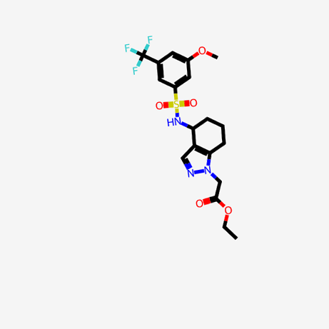 CCOC(=O)Cn1ncc2c1CCCC2NS(=O)(=O)c1cc(OC)cc(C(F)(F)F)c1